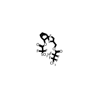 O=C(OCC1CSC2(S1)C1CCC(C1)C2OC(=O)C(F)(F)S(=O)(=O)O)C(F)(F)C(F)(F)C(F)(F)F